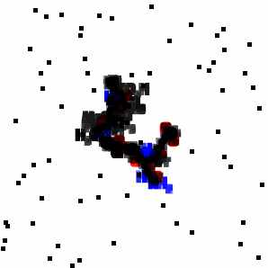 CC[C@H](C)[C@@H]([C@@H](CC(=O)N1CCC[C@H]1[C@H](OC)[C@@H](C)C(=O)N[C@@H](Cc1ccccc1)C(=O)O)OC)N(C)C(=O)[C@@H](NC(=O)[C@H](C(C)C)N(C)CCc1ccc(N(C)C(=O)OCc2ccc(NC(=O)[C@H](CCCCNC(N)=O)NC(=O)[C@@H](NC(=O)CCCCCN3C(=O)C=CC3=O)C(C)C)cc2)cc1)C(C)C